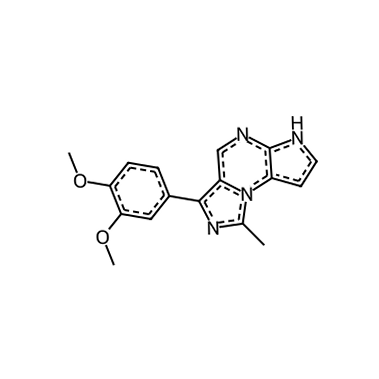 COc1ccc(-c2nc(C)n3c2cnc2[nH]ccc23)cc1OC